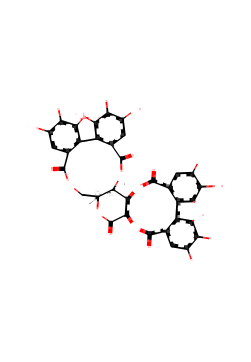 O=C1OC[C@H]2OC(=O)c3oc(=O)c4cc(O)c(O)c(O)c4c4c(O)c(O)c(O)cc4c(=O)oc3[C@@H]2OC(=O)c2cc(O)c(O)c(O)c2-c2c1cc(O)c(O)c2O